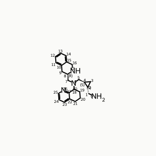 NC[C@H]1C[C@@H]1CN(C[C@H]1Cc2ccccc2CN1)[C@H]1CCCc2cccnc21